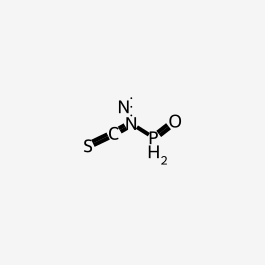 O=[PH2]N=C=S.[N]